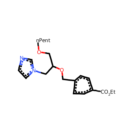 CCCCCOCC(Cn1ccnc1)OCc1ccc(C(=O)OCC)cc1